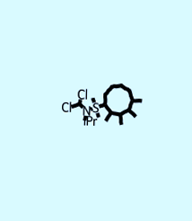 CC1CCCCC(S(C)(C)N(C(C)C)C(Cl)Cl)C(C)C(C)C1C